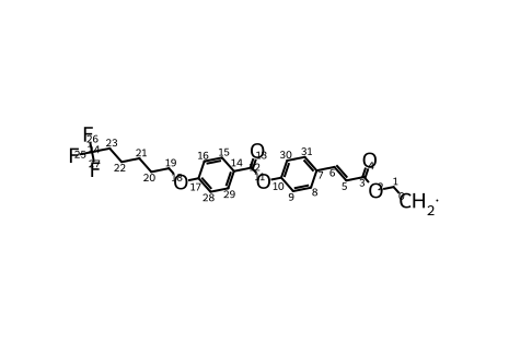 [CH2]COC(=O)/C=C/c1ccc(OC(=O)c2ccc(OCCCCCC(F)(F)F)cc2)cc1